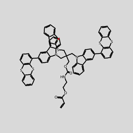 C=CC(=O)OCCNC(=O)OCC(CSc1nc2ccccc2s1)(Cn1c2ccccc2c2cc(-c3cccc4c3Sc3ccccc3S4)ccc21)Cn1c2ccccc2c2cc(-c3cccc4c3Sc3ccccc3S4)ccc21